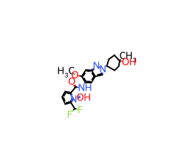 COc1cc2nn([C@H]3CC[C@](C)(O)CC3)cc2cc1NC(=O)c1cccc(C(F)F)[n+]1O